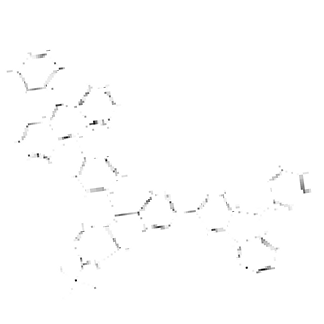 CC(C)(C)c1ccc(N(c2ccc(-c3ccc4c(c3)c3ccccc3n4-c3ccccc3)cc2)c2ccc(-c3c4ccccc4c(-c4ccccc4)c4ccccc34)cc2)cc1